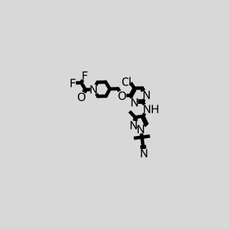 Cc1nn(C(C)(C)C#N)cc1Nc1ncc(Cl)c(OCC2CCN(C(=O)C(F)F)CC2)n1